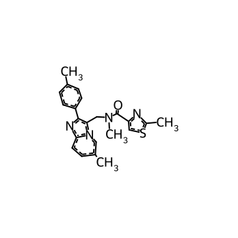 Cc1ccc(-c2nc3ccc(C)cn3c2CN(C)C(=O)c2csc(C)n2)cc1